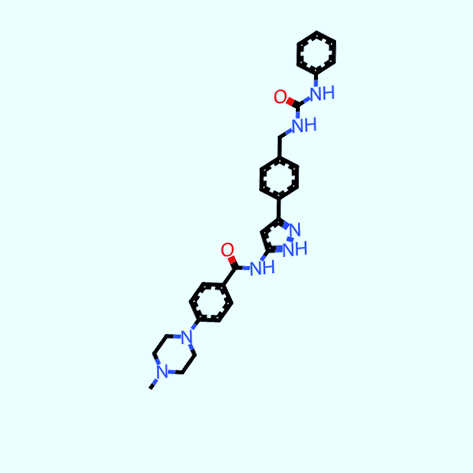 CN1CCN(c2ccc(C(=O)Nc3cc(-c4ccc(CNC(=O)Nc5ccccc5)cc4)n[nH]3)cc2)CC1